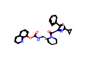 O=C(NC[C@@H]1CCCCN1C(=O)c1nc(C2CC2)sc1-c1ccccc1)Oc1cccc2cccnc12